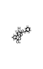 COC(=O)[C@H]1CCCN1C(=O)[C@H](C)NC(=O)OCc1ccccc1